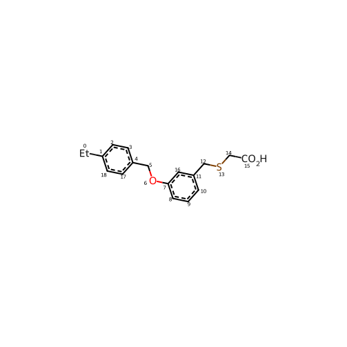 CCc1ccc(COc2cccc(CSCC(=O)O)c2)cc1